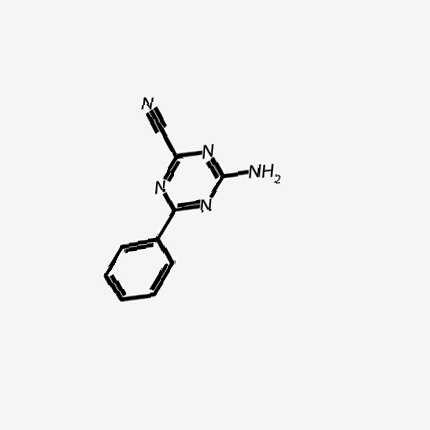 N#Cc1nc(N)nc(-c2ccccc2)n1